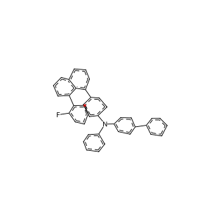 Fc1ccccc1-c1cccc2cccc(-c3ccc(N(c4ccccc4)c4ccc(-c5ccccc5)cc4)cc3)c12